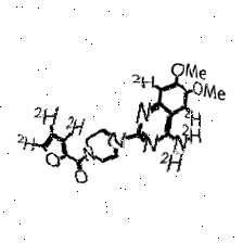 [2H]c1oc(C(=O)N2CCN(c3nc(N([2H])[2H])c4c([2H])c(OC)c(OC)c([2H])c4n3)CC2)c([2H])c1[2H]